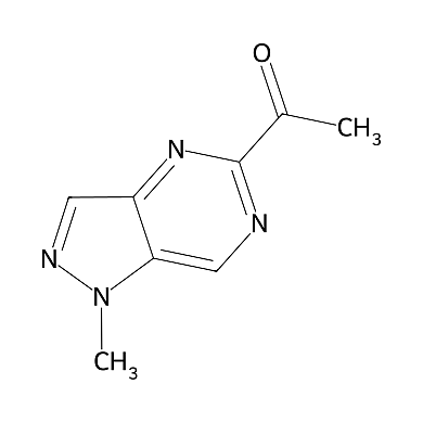 CC(=O)c1ncc2c(cnn2C)n1